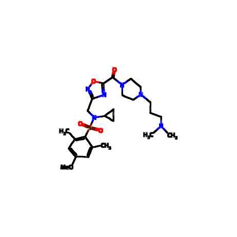 COc1cc(C)c(S(=O)(=O)N(Cc2noc(C(=O)N3CCN(CCCN(C)C)CC3)n2)C2CC2)c(C)c1